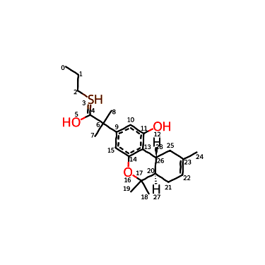 CCC[SH]=C(O)C(C)(C)c1cc(O)c2c(c1)OC(C)(C)[C@@H]1CC=C(C)C[C@@H]21